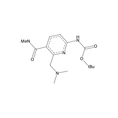 CNC(=O)c1ccc(NC(=O)OC(C)(C)C)nc1CN(C)C